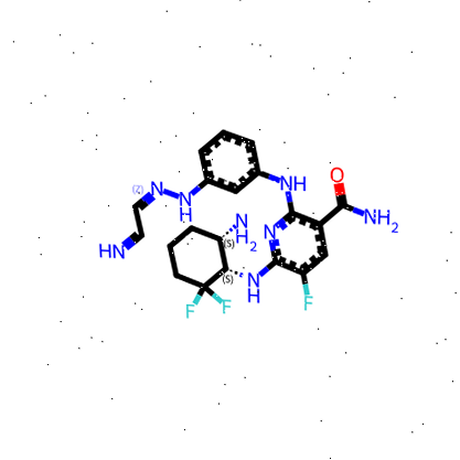 N=C/C=N\Nc1cccc(Nc2nc(N[C@H]3[C@@H](N)CCCC3(F)F)c(F)cc2C(N)=O)c1